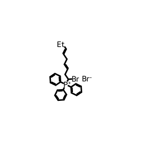 CCC=CCC=CCC(Br)[P+](c1ccccc1)(c1ccccc1)c1ccccc1.[Br-]